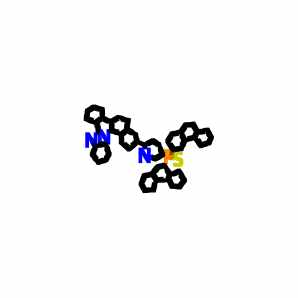 S=P(c1ccc(-c2ccc3c(ccc4c5ccccc5c5nc6ccccc6n5c34)c2)nc1)(c1ccc2ccc3ccccc3c2c1)c1cc2ccccc2c2ccccc12